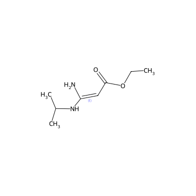 CCOC(=O)/C=C(\N)NC(C)C